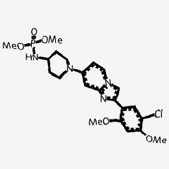 COc1cc(OC)c(-c2cn3ccc(N4CCC(NP(=O)(OC)OC)CC4)cc3n2)cc1Cl